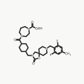 COC(=O)N1CCCN(C(=O)C2CCC(CN3CC4(CCN(Cc5c(F)cc(C)cc5F)CC4)OC3=O)CC2)CC1